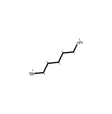 CCCCCCC[CH2][Sb]